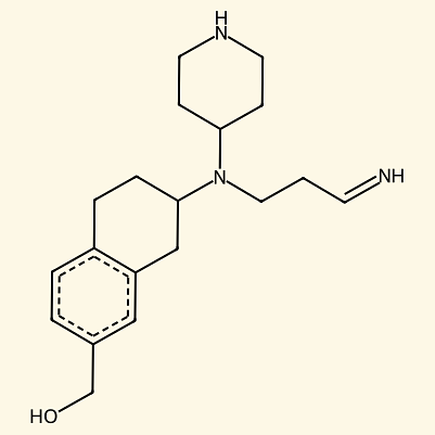 N=CCCN(C1CCNCC1)C1CCc2ccc(CO)cc2C1